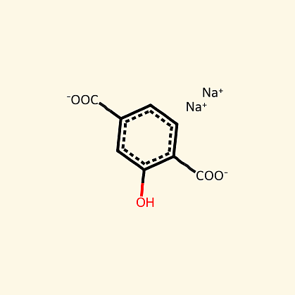 O=C([O-])c1ccc(C(=O)[O-])c(O)c1.[Na+].[Na+]